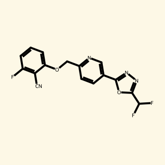 N#Cc1c(F)cccc1OCc1ccc(-c2nnc(C(F)F)o2)cn1